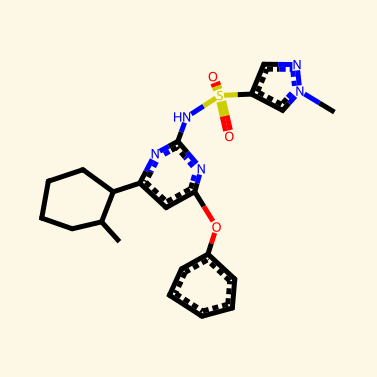 CC1CCCCC1c1cc(Oc2ccccc2)nc(NS(=O)(=O)c2cnn(C)c2)n1